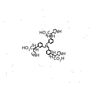 [2H]C([2H])(c1cccc(CN(Cc2cccc(C([2H])([2H])[C@H](C(=O)O)[C@H]3CCNC3)c2)Cc2cccc(C([2H])([2H])[C@H](C(=O)O)[C@H]3CCNC3)c2)c1)[C@H](C(=O)O)[C@H]1CCNC1